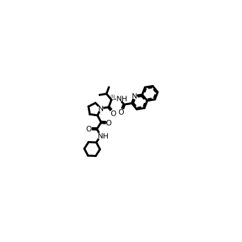 CC(C)[C@H](NC(=O)c1ccc2ccccc2n1)C(=O)N1CCCC1C(=O)C(=O)NC1CCCCC1